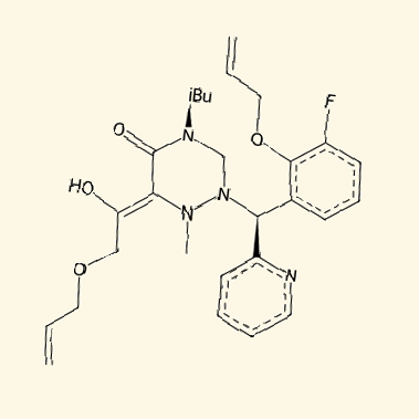 C=CCOC/C(O)=C1/C(=O)N([C@H](C)CC)CN([C@H](c2ccccn2)c2cccc(F)c2OCC=C)N1C